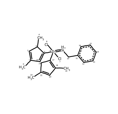 CC1=CC(C)[C]([Zr]([Cl])([Cl])(=[SiH]Cc2ccccc2)[C]2=C(C)C=C(C)C2)=C1